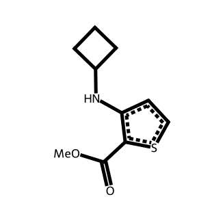 COC(=O)c1sccc1NC1CCC1